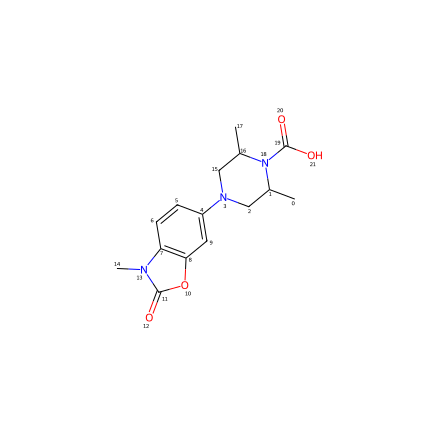 CC1CN(c2ccc3c(c2)oc(=O)n3C)CC(C)N1C(=O)O